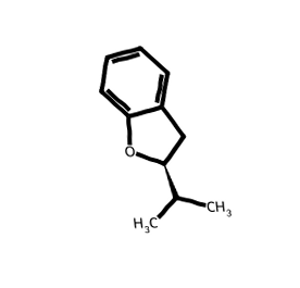 CC(C)[C@@H]1Cc2ccccc2O1